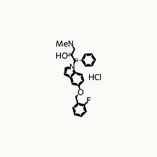 CNC[C@@H](O)[C@H](c1ccccc1)n1ccc2cc(OCc3ccccc3F)ccc21.Cl